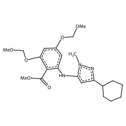 COCOc1cc(Nc2cc(C3CCCCC3)nn2C)c(C(=O)OC)c(OCOC)c1